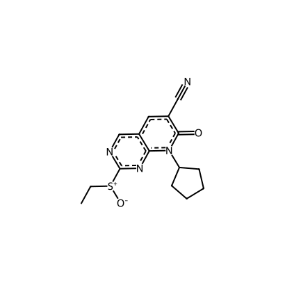 CC[S+]([O-])c1ncc2cc(C#N)c(=O)n(C3CCCC3)c2n1